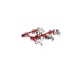 CCCCCC(CCCCC)CCOC(=O)CCCCCCCCCC(CCCCCCCCCC(=O)OCCC(CCCCC)C(CCCC)CCCCC(CCCC)CCOC(=O)CCCCCCCCCC(CCCCCCCCCC(=O)OCCC(CCCC)CCCC)COCCCN(C)CC)OC(=O)CCCN1CCCCC1